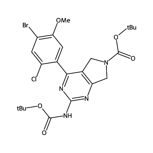 COc1cc(-c2nc(NC(=O)OC(C)(C)C)nc3c2CN(C(=O)OC(C)(C)C)C3)c(Cl)cc1Br